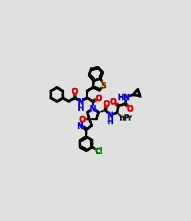 CCC[C@H](NC(=O)[C@@H]1C[C@]2(CC(c3cccc(Cl)c3)=NO2)CN1C(=O)[C@H](Cc1csc2ccccc12)NC(=O)CC1CCCCC1)C(=O)C(=O)NC1CC1